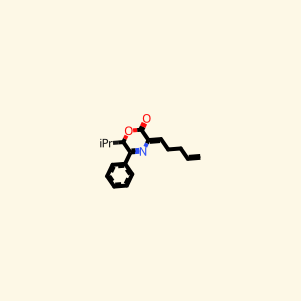 C=CCCC=C1N=C(c2ccccc2)C(C(C)C)OC1=O